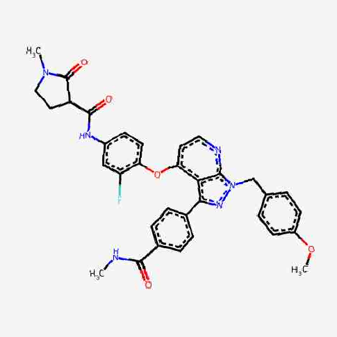 CNC(=O)c1ccc(-c2nn(Cc3ccc(OC)cc3)c3nccc(Oc4ccc(NC(=O)C5CCN(C)C5=O)cc4F)c23)cc1